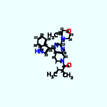 CCC(C)C(=O)N1CCc2c(nc(N3CCOC[C@H]3C)nc2-c2c[nH]c3ccccc23)C1